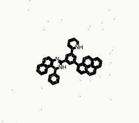 C1=CCNC(c2cc(C3=Nc4ccc5ccccc5c4C(c4ccccc4)N3)cc(-c3ccc4ccc5cccc6ccc3c4c56)c2)=C1